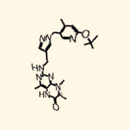 Cc1cc(OC(C)(C)C)ncc1Cn1cc(CNc2nc(C)c3c(n2)N(C)[C@@H](C)C(=O)N3)cn1